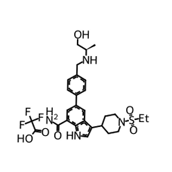 CCS(=O)(=O)N1CCC(c2c[nH]c3c(C(N)=O)cc(-c4ccc(CN[C@H](C)CO)cc4)cc23)CC1.O=C(O)C(F)(F)F